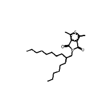 CCCCCCCCC(CCCCCC)CN1C(=O)c2c(C)sc(C)c2C1=O